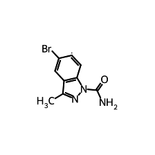 Cc1nn(C(N)=O)c2c[c]c(Br)cc12